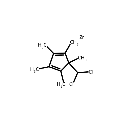 CC1=C(C)C(C)([C](Cl)Cl)C(C)=C1C.[Zr]